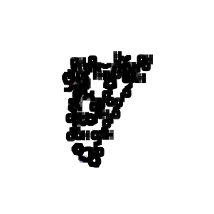 C=C(C)[C@H](NC(=O)[C@H](CCC(=O)O)NC(=O)CCOCCOCCOCCOCCNC(=O)CCC(=O)N1Cc2ccccc2/C=C\c2ccccc21)C(=O)N[C@@H](CCCNC(N)=O)C(=O)Nc1ccc(COC(=O)NCC(=O)Nc2ccc(C[C@@H](CC(C)(C)C(=O)O)NC(=O)c3csc([C@@H](C[C@H](C(C)C)N(CCCCCC)C(=O)[C@@H](NC(=O)[C@H]4CCCCN4CCO)[C@@H](C)CC)OCC)n3)cc2)cc1